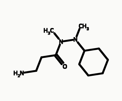 CN(C(=O)CCN)N(C)C1CCCCC1